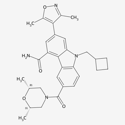 Cc1noc(C)c1-c1cc(C(N)=O)c2c3cc(C(=O)N4C[C@@H](C)O[C@@H](C)C4)ccc3n(CC3CCC3)c2c1